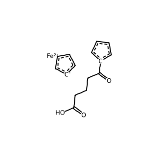 O=C(O)CCCC(=O)[c-]1cccc1.[Fe+2].c1cc[cH-]c1